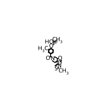 Cc1nc([C@]23CCN(C(=O)c4ccc(OCC(C)(O)F)c(C)c4)CC2OCO3)cs1